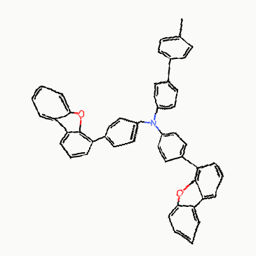 Cc1ccc(-c2ccc(N(c3ccc(-c4cccc5c4oc4ccccc45)cc3)c3ccc(-c4cccc5c4oc4ccccc45)cc3)cc2)cc1